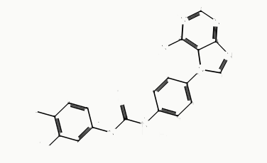 Cl.Nc1ncnc2ncn(-c3ccc(NC(=O)Nc4ccc(Cl)c(C(F)(F)F)c4)cc3)c12